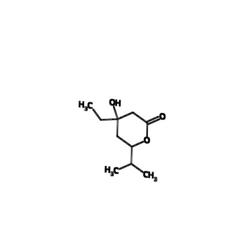 CCC1(O)CC(=O)OC(C(C)C)C1